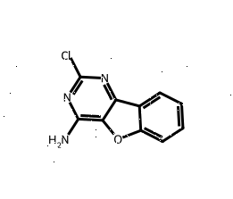 Nc1nc(Cl)nc2c1oc1ccccc12